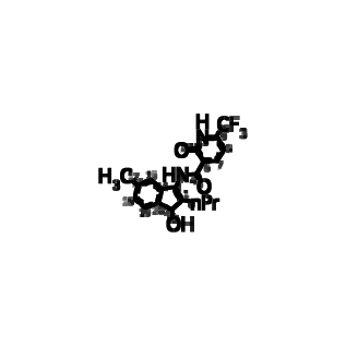 CCCC1=C(NC(=O)c2ccc(C(F)(F)F)[nH]c2=O)c2cc(C)ccc2C1O